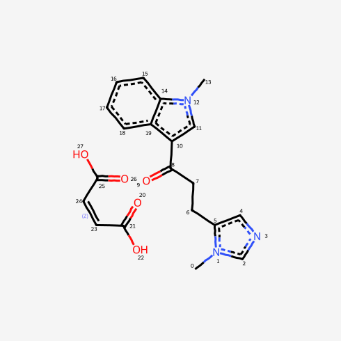 Cn1cncc1CCC(=O)c1cn(C)c2ccccc12.O=C(O)/C=C\C(=O)O